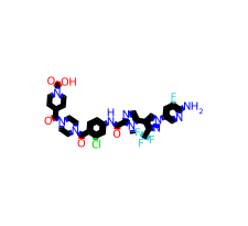 Cn1c(-c2cn(-c3cnc(N)c(F)c3)nc2C(F)(F)F)cnc1C(=O)Nc1ccc(C(=O)N2CCN(C(=O)C3CCN(C(=O)O)CC3)CC2)c(Cl)c1